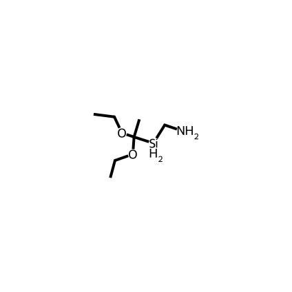 CCOC(C)(OCC)[SiH2]CN